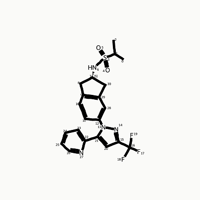 CC(C)S(=O)(=O)N[C@H]1Cc2ccc(-n3nc(C(F)(F)F)cc3-c3ccccn3)cc2C1